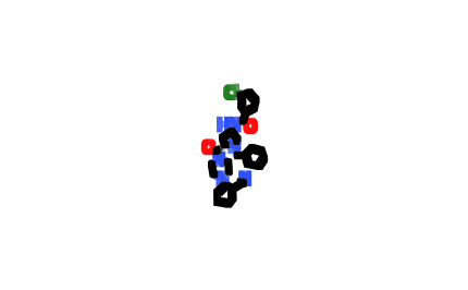 N#Cc1ccccc1N1CCN(C(=O)[C@@H]2C[C@H](NC(=O)c3cccc(Cl)c3)CN2Cc2ccccc2)CC1